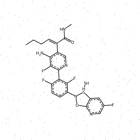 CCC/C=C(/C(=O)NC)c1cnc(-c2c(F)ccc(N3Oc4ncc(F)cc4[SH]3S)c2F)c(F)c1N